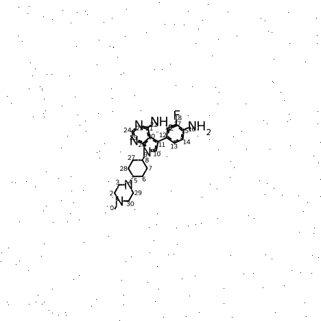 CN1CCN([C@H]2CC[C@H](n3cc(-c4ccc(N)c(F)c4)c4c(N)ncnc43)CC2)CC1